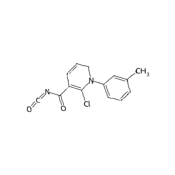 Cc1cccc(N2CC=CC(C(=O)N=C=O)=C2Cl)c1